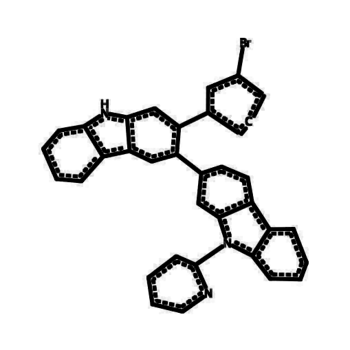 Brc1cccc(-c2cc3[nH]c4ccccc4c3cc2-c2ccc3c4ccccc4n(-c4ccccn4)c3c2)c1